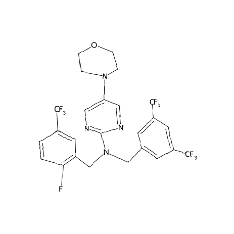 Fc1ccc(C(F)(F)F)cc1CN(Cc1cc(C(F)(F)F)cc(C(F)(F)F)c1)c1ncc(N2CCOCC2)cn1